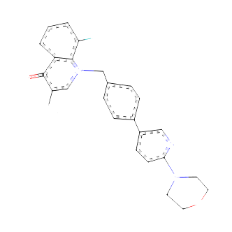 O=C(O)c1cn(Cc2ccc(-c3ccc(N4CCOCC4)nc3)cc2)c2c(F)cccc2c1=O